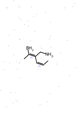 B/C(C)=C(/C=C\C)CN